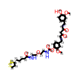 COc1cc(/C=C/C(=O)CC(=O)/C=C/c2ccc(OC(=O)NCCOCCNC(=O)CCCC[C@@H]3CCSS3)c(OC)c2)ccc1O